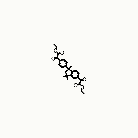 CCOC(=O)C(=O)c1ccc(C2(C)CC(C)(C)c3cc(C(=O)C(=O)OCC)ccc32)cc1